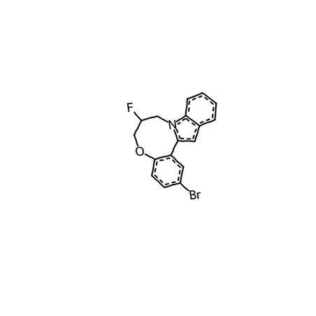 FC1COc2ccc(Br)cc2-c2cc3ccccc3n2C1